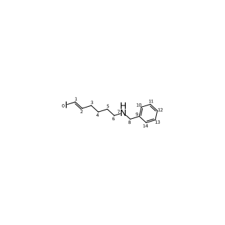 IC=CCCCCNCc1ccccc1